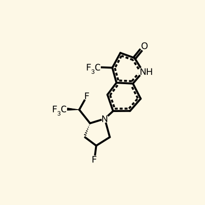 O=c1cc(C(F)(F)F)c2cc(N3CC(F)C[C@@H]3[C@H](F)C(F)(F)F)ccc2[nH]1